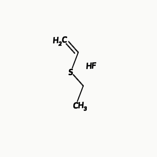 C=CSCC.F